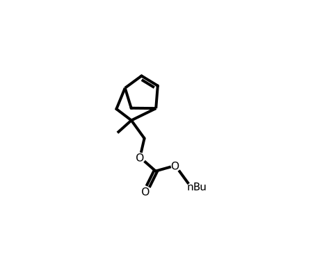 CCCCOC(=O)OCC1(C)CC2C=CC1C2